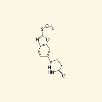 CSc1nc2ccc(C3=NNC(=O)CC3)cc2o1